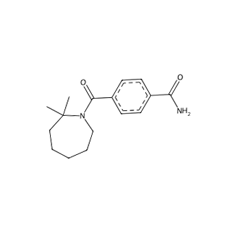 CC1(C)CCCCCN1C(=O)c1ccc(C(N)=O)cc1